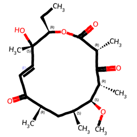 CC[C@H]1OC(=O)[C@H](C)C(=O)[C@H](C)[C@@H](OC)[C@@H](C)C[C@@H](C)C(=O)/C=C/[C@]1(C)O